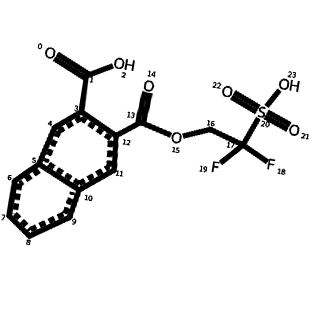 O=C(O)c1cc2ccccc2cc1C(=O)OCC(F)(F)S(=O)(=O)O